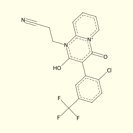 N#CCCn1c(O)c(-c2cc(C(F)(F)F)ccc2Cl)c(=O)[n+]2ccccc12